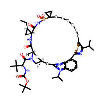 CC[C@@H]1C[C@@]12NC(=O)[C@@H]1C[C@@H](Cc3nc4c(cccc4n3C(C)C)-c3nc(C(C)C)c(s3)CCCCCCC3(CC3)S(=O)(=O)NC2=O)CN1C(=O)[C@@H](NC(=O)OC(C)(C)C)C(C)(C)C